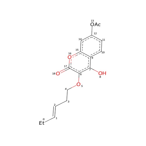 CCC=CCCOc1c(O)c2ccc(OC(C)=O)cc2oc1=O